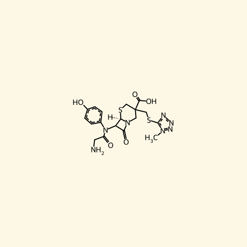 Cn1nnnc1SCC1(C(=O)O)CS[C@@H]2C(N(C(=O)CN)c3ccc(O)cc3)C(=O)N2C1